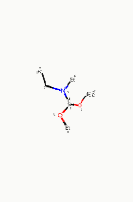 CCO[SiH](OCC)N(CC)CC(C)C